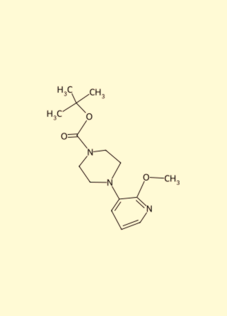 COc1ncccc1N1CCN(C(=O)OC(C)(C)C)CC1